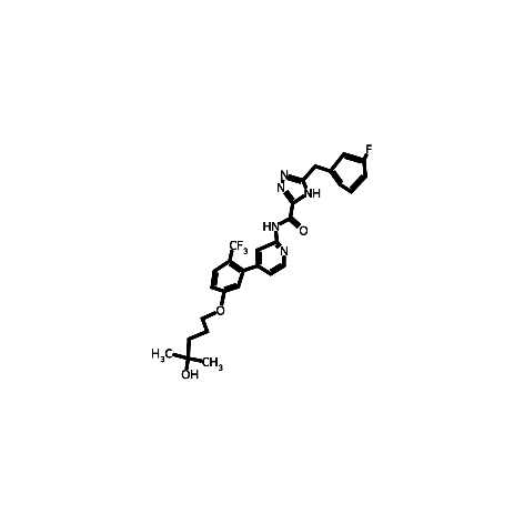 CC(C)(O)CCCOc1ccc(C(F)(F)F)c(-c2ccnc(NC(=O)c3nnc(Cc4cccc(F)c4)[nH]3)c2)c1